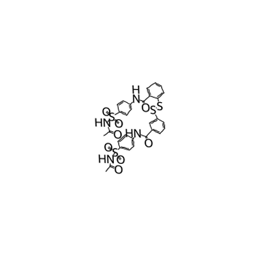 CC(=O)NS(=O)(=O)c1ccc(NC(=O)c2cccc(SSc3ccccc3C(=O)Nc3ccc(S(=O)(=O)NC(C)=O)cc3)c2)cc1